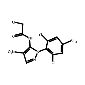 O=C(CCl)Nc1c([N+](=O)[O-])cnn1-c1c(Cl)cc(C(F)(F)F)cc1Cl